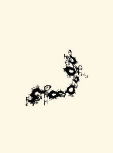 Cn1c(=O)n(C2CCC(=O)NC2=O)c2cccc(N3CCC(O[C@H]4CC[C@H](n5cc6cc(NC(=O)c7cccc(C(F)(F)F)n7)ccc6n5)CC4)C3)c21